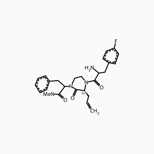 C=CC[C@H]1C(=O)N(C(Cc2ccccc2)C(=O)NC)CCN1C(=O)C(N)Cc1ccc(F)cc1